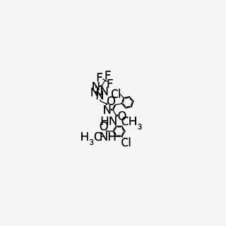 CNC(=O)c1cc(Cl)cc(C)c1NC(=O)c1nc(Cn2nnc(C(F)(F)F)n2)oc1-c1ccccc1Cl